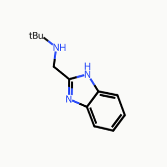 CC(C)(C)NCc1nc2ccccc2[nH]1